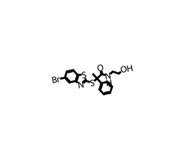 CC(Sc1nc2cc(Br)ccc2s1)(C(=O)NCCO)c1ccccc1